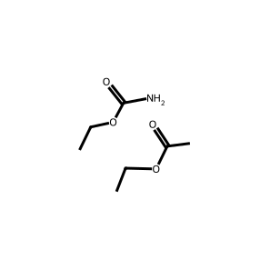 CCOC(C)=O.CCOC(N)=O